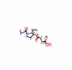 CCC(=O)N1CC[C@H](OC(=O)CCC(=O)O)[C@@H]1CC